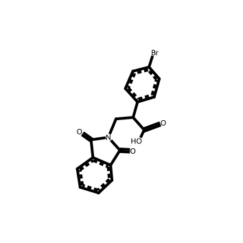 O=C(O)C(CN1C(=O)c2ccccc2C1=O)c1ccc(Br)cc1